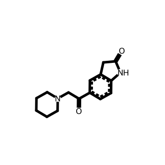 O=C1Cc2cc(C(=O)CN3CCCCC3)ccc2N1